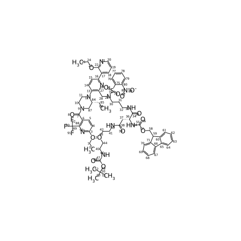 CCOc1ccc(C(=O)N2CCN(c3ccc(-c4cccnc4OCC)nc3CN(CCCNC(=O)[C@@H](CC(=O)NCCOCCNC(=O)OC(C)(C)C)NC(=O)OCC3c4ccccc4-c4ccccc43)S(=O)(=O)c3ccccc3[N+](=O)[O-])[C@H](CC)C2)c(C(F)(F)F)n1